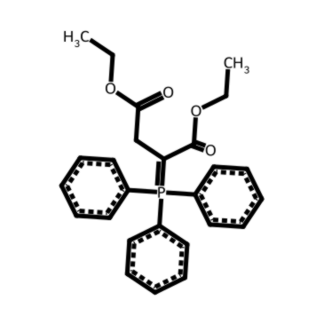 CCOC(=O)CC(C(=O)OCC)=P(c1ccccc1)(c1ccccc1)c1ccccc1